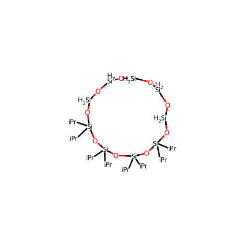 CC(C)[Si]1(C(C)C)O[SiH2]O[SiH2]O[SiH2]O[SiH2]O[SiH2]O[Si](C(C)C)(C(C)C)O[Si](C(C)C)(C(C)C)O[Si](C(C)C)(C(C)C)O1